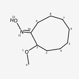 COC1CCCCCCCC1=NO